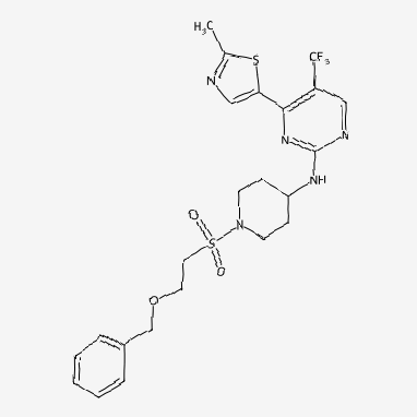 Cc1ncc(-c2nc(NC3CCN(S(=O)(=O)CCOCc4ccccc4)CC3)ncc2C(F)(F)F)s1